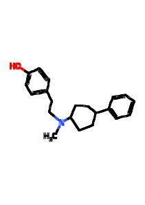 CN(CCc1ccc(O)cc1)C1CCC(c2ccccc2)CC1